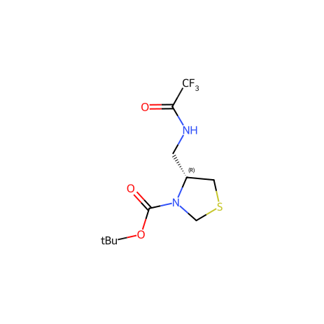 CC(C)(C)OC(=O)N1CSC[C@H]1CNC(=O)C(F)(F)F